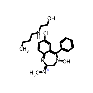 C/N=C1/CN(O)C(c2ccccc2)=c2cc(Cl)ccc2=N1.CCCCNCCO